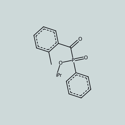 Cc1ccccc1C(=O)P(=O)(OC(C)C)c1ccccc1